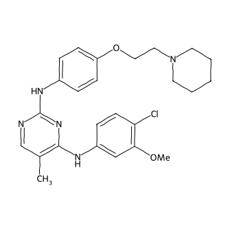 COc1cc(Nc2nc(Nc3ccc(OCCN4CCCCC4)cc3)ncc2C)ccc1Cl